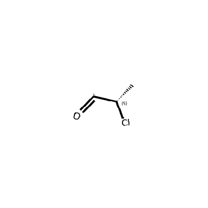 C[C@H](Cl)[C]=O